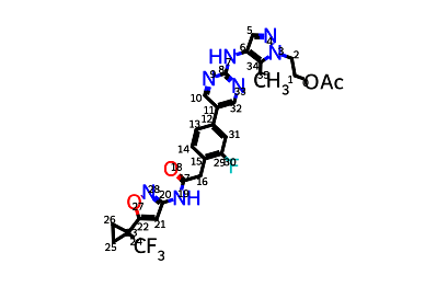 CC(=O)OCCn1ncc(Nc2ncc(-c3ccc(CC(=O)Nc4cc(C5(C(F)(F)F)CC5)on4)c(F)c3)cn2)c1C